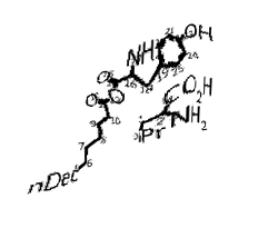 CC(C)CC(N)C(=O)O.CCCCCCCCCCCCCCCC(=O)OC(=O)C(N)Cc1ccc(O)cc1